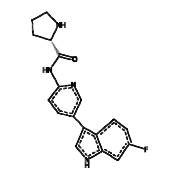 O=C(Nc1ccc(-c2c[nH]c3cc(F)ccc23)cn1)[C@@H]1CCCN1